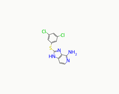 Nc1nccc2[nH]c(Sc3cc(Cl)cc(Cl)c3)nc12